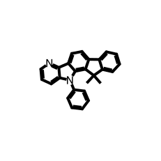 CC1(C)c2ccccc2-c2ccc3c4ncccc4n(-c4ccccc4)c3c21